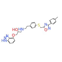 Cc1ccc(-c2noc(CSc3ccc(CCNC[C@H](O)COc4cccc5[nH]nnc45)cc3)n2)cc1